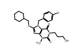 Cn1c(=O)n(CCCO)c(=O)c2c1nc(OCC1CCCCC1)n2Cc1ccc(Cl)cc1